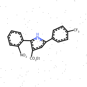 CCOC(=O)c1cc(-c2ccc(C(F)(F)F)cc2)[nH]c1-c1ccccc1[N+](=O)[O-]